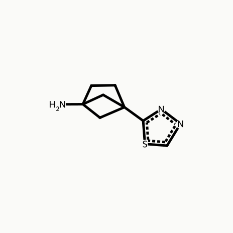 NC12CCC(c3nncs3)(C1)C2